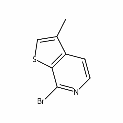 Cc1csc2c(Br)nccc12